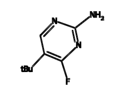 CC(C)(C)c1cnc(N)nc1F